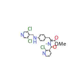 COC(=O)[C@H](Cc1ccc(NCc2c(Cl)cncc2Cl)cc1)N(C)C(=O)c1cccnc1Cl